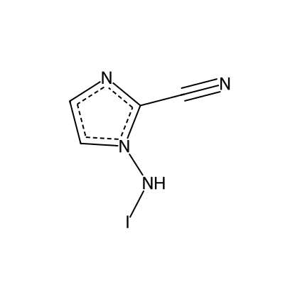 N#Cc1nccn1NI